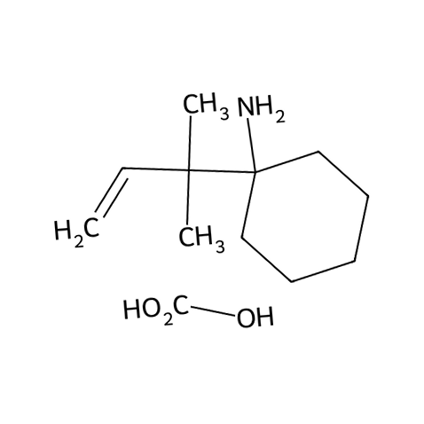 C=CC(C)(C)C1(N)CCCCC1.O=C(O)O